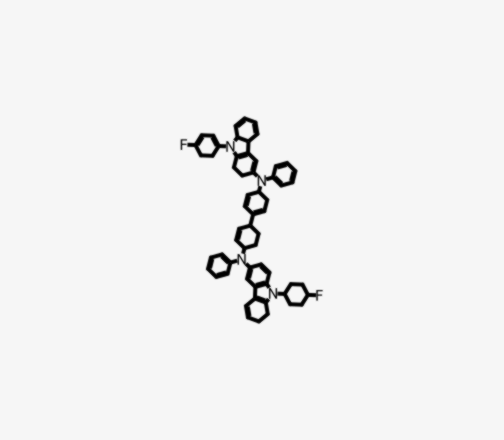 FC1=CC=C(N2C3=C(C=C(N(c4ccccc4)C4C=CC(C5C=CC(N(c6ccccc6)c6ccc7c(c6)c6c(n7C7CCC(F)CC7)CCC=C6)CC5)=CC4)CC3)C3C=CC=CC32)CC1